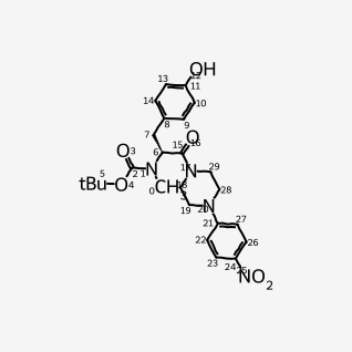 CN(C(=O)OC(C)(C)C)[C@@H](Cc1ccc(O)cc1)C(=O)N1CCN(c2ccc([N+](=O)[O-])cc2)CC1